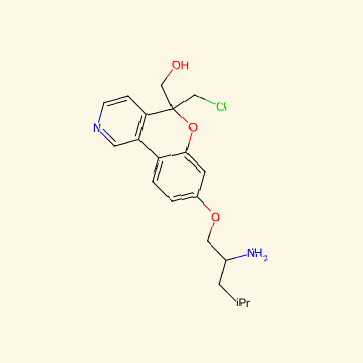 CC(C)CC(N)COc1ccc2c(c1)OC(CO)(CCl)c1ccncc1-2